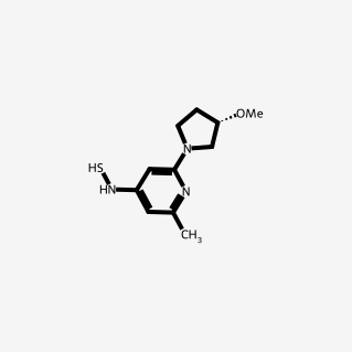 CO[C@H]1CCN(c2cc(NS)cc(C)n2)C1